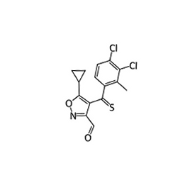 Cc1c(C(=S)c2c(C=O)noc2C2CC2)ccc(Cl)c1Cl